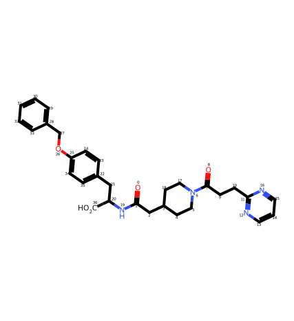 O=C(CC1CCN(C(=O)CCc2ncccn2)CC1)NC(Cc1ccc(OCc2ccccc2)cc1)C(=O)O